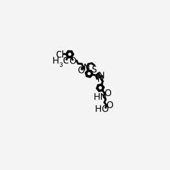 Cc1c(Cl)cccc1OCCCC(=O)N1CCCSc2c(-c3cnn(Cc4cccc(C(=O)NCCC(=O)O)c4)c3)cccc21